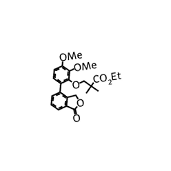 CCOC(=O)C(C)(C)COc1c(-c2cccc3c2COC3=O)ccc(OC)c1OC